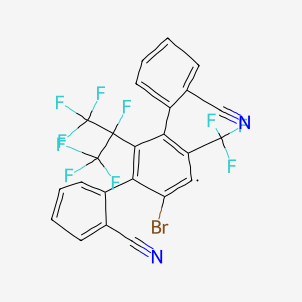 N#Cc1ccccc1-c1c(Br)[c]c(C(F)(F)F)c(-c2ccccc2C#N)c1C(F)(C(F)(F)F)C(F)(F)F